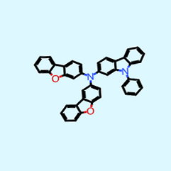 c1ccc(-n2c3ccccc3c3ccc(N(c4ccc5c(c4)oc4ccccc45)c4ccc5oc6ccccc6c5c4)cc32)cc1